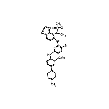 COc1cc(N2CCN(C)CC2)ccc1Nc1ncc(Br)c(Nc2ccc3nccnc3c2N(C)S(C)(=O)=O)n1